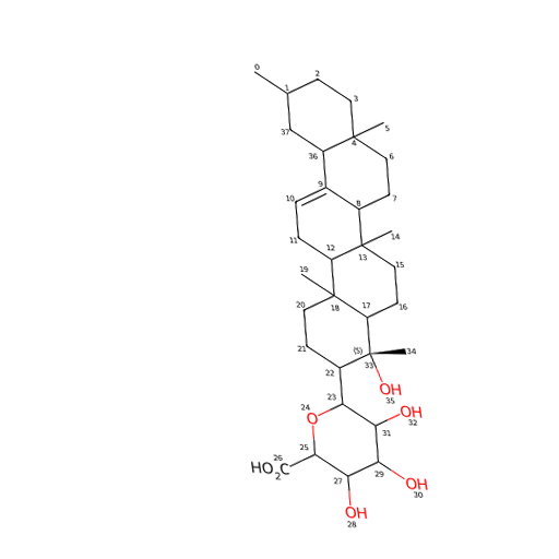 CC1CCC2(C)CCC3C(=CCC4C3(C)CCC3C4(C)CCC(C4OC(C(=O)O)C(O)C(O)C4O)[C@@]3(C)O)C2C1